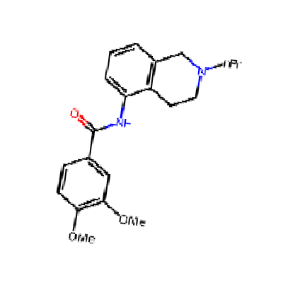 CCCN1CCc2c(cccc2NC(=O)c2ccc(OC)c(OC)c2)C1